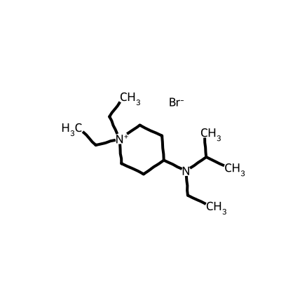 CCN(C(C)C)C1CC[N+](CC)(CC)CC1.[Br-]